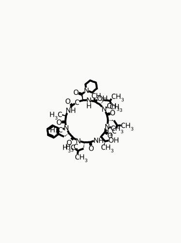 CC(C)C[C@@H]1N(C)C(=O)[C@H](CC(C)C)N(C)C(=O)[C@H]([C@@H](C)O)NC(=O)[C@H](CC(C)C)N(C)C(=O)[C@H](Cc2ccccc2)N(C)C(=O)[C@@H](C)NC(=O)C[C@@H](C(=O)N2CCCCC2)NC1(C)O